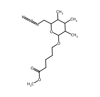 COC(=O)CCCCOC1OC(CN=[N+]=[N-])C(C)C(C)C1C